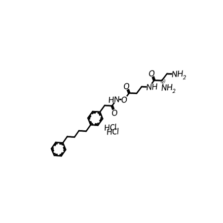 Cl.Cl.NC[C@H](N)C(=O)NCCC(=O)ONC(=O)Cc1ccc(CCCCc2ccccc2)cc1